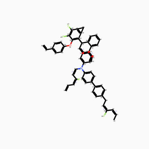 C=C/C=C(F)\C=C/N(c1ccc(-c2ccc(C/C=C(F)\C=C/C)cc2)cc1)c1ccc(-c2ccccc2C(/C=C\C=C/C)c2c3c(c(F)c(F)c2Oc2ccc(C=C)cc2)C3)cc1